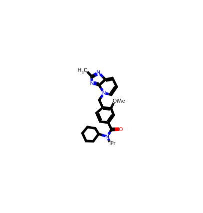 COc1cc(C(=O)N(C(C)C)C2CCCCC2)ccc1Cn1cccc2nc(C)nc1-2